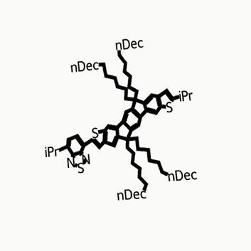 CCCCCCCCCCCCCCCCC1(CCCCCCCCCCCCCCCC)c2cc3c(cc2-c2cc4sc(-c5ccc(C(C)C)c6nsnc56)cc4cc21)C(CCCCCCCCCCCCCCCC)(CCCCCCCCCCCCCCCC)c1cc2cc(C(C)C)sc2cc1-3